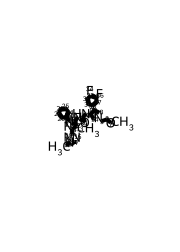 COCCN1C[C@@H](NC(=O)Nc2c(C)c(-c3ncn(C)n3)nn2-c2ccccc2)[C@H](c2ccc(F)c(F)c2)C1